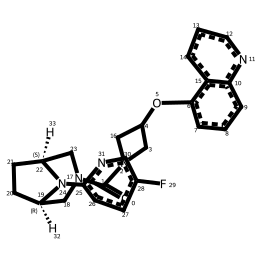 O=C(N1CC(Oc2cccc3ncccc23)C1)N1C[C@H]2CC[C@@H](C1)N2c1ccc(F)cn1